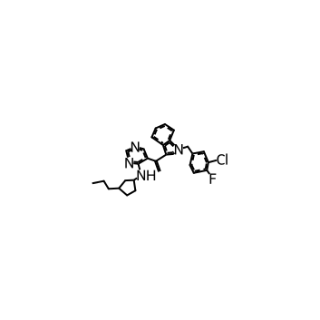 C=C(c1cncnc1NC1CCC(CCC)C1)c1cn(Cc2ccc(F)c(Cl)c2)c2ccccc12